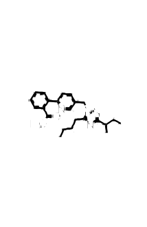 CCCCc1nc(C(C)CC)nn1Cc1ccc(-c2ccccc2C(=O)O)nc1